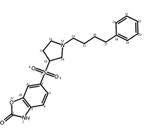 O=c1[nH]c2ccc(S(=O)(=O)C3CCN(CCCCc4ccccc4)C3)cc2o1